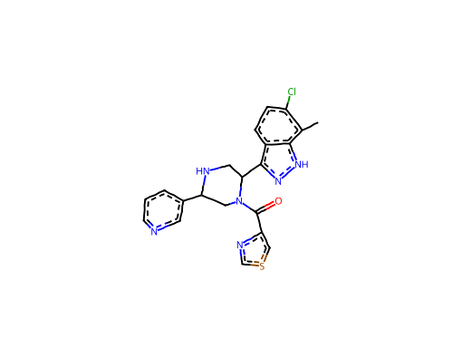 Cc1c(Cl)ccc2c(C3CNC(c4cccnc4)CN3C(=O)c3cscn3)n[nH]c12